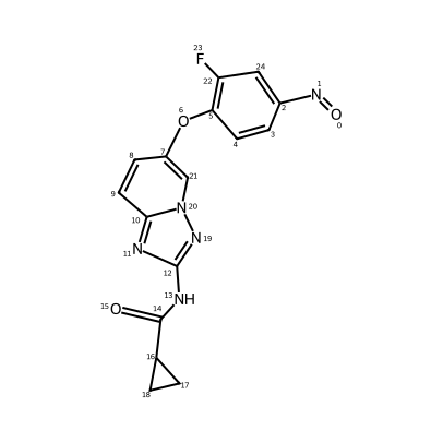 O=Nc1ccc(Oc2ccc3nc(NC(=O)C4CC4)nn3c2)c(F)c1